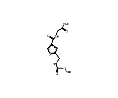 COC(=O)CNC(=O)c1coc(CNC(=O)OC(C)(C)C)n1